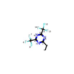 CCc1nc(C(F)(F)F)nc(C(F)(F)F)n1